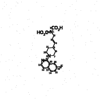 O=C(O)N(C/C=C/C1CCN(c2nccc3ccc(F)cc23)CC1)C(=O)O